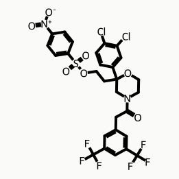 O=C(Cc1cc(C(F)(F)F)cc(C(F)(F)F)c1)N1CCOC(CCOS(=O)(=O)c2ccc([N+](=O)[O-])cc2)(c2ccc(Cl)c(Cl)c2)C1